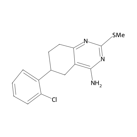 CSc1nc(N)c2c(n1)CCC(c1ccccc1Cl)C2